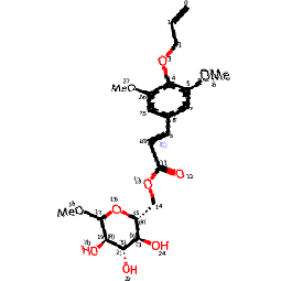 C=CCOc1c(OC)cc(/C=C/C(=O)OC[C@H]2OC(OC)[C@H](O)[C@@H](O)[C@@H]2O)cc1OC